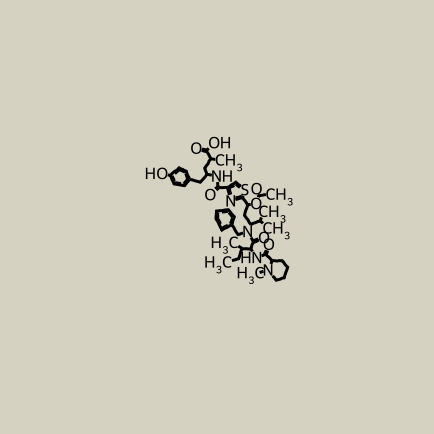 CCC(C)C(NC(=O)C1CCCCN1C)C(=O)N(Cc1ccccc1)C(CC(OC(C)=O)c1nc(C(=O)NC(Cc2ccc(O)cc2)CC(C)C(=O)O)cs1)C(C)C